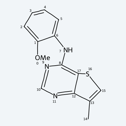 COc1ccccc1Nc1ncnc2c(C)csc12